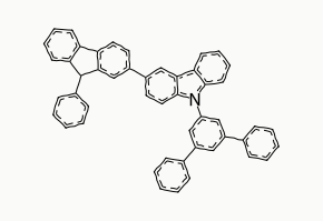 c1ccc(-c2cc(-c3ccccc3)cc(-n3c4ccccc4c4cc(-c5ccc6c(c5)C(c5ccccc5)c5ccccc5-6)ccc43)c2)cc1